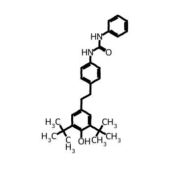 CC(C)(C)c1cc(CCc2ccc(NC(=O)Nc3ccccc3)cc2)cc(C(C)(C)C)c1O